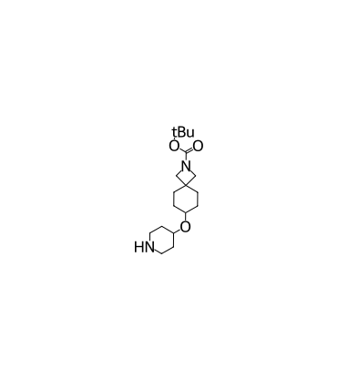 CC(C)(C)OC(=O)N1CC2(CCC(OC3CCNCC3)CC2)C1